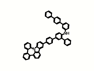 c1ccc(-c2ccc(-c3cccc(Nc4ccc(-c5ccc(-c6ccc7c(c6)c6cccc8c6n7-c6ccccc6-c6ccccc6-8)cc5)cc4-c4ccccc4)c3)cc2)cc1